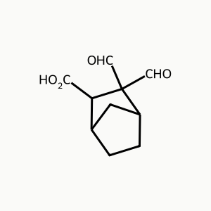 O=CC1(C=O)C2CCC(C2)C1C(=O)O